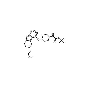 CC(C)(C)OC(=O)N[C@H]1CC[C@H](Oc2ncnc3sc4c(c23)C[C@H](CCO)CC4)CC1